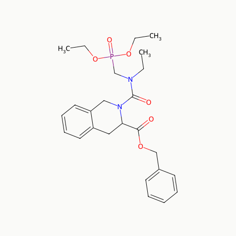 CCOP(=O)(CN(CC)C(=O)N1Cc2ccccc2CC1C(=O)OCc1ccccc1)OCC